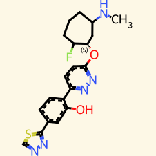 CNC1CCCC(F)[C@@H](Oc2ccc(-c3ccc(-c4nncs4)cc3O)nn2)C1